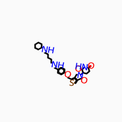 O=C1CCC(N2Cc3c(csc3COc3ccc(CNCCCCCNC4CCCCC4)cc3)C2=O)C(=O)N1